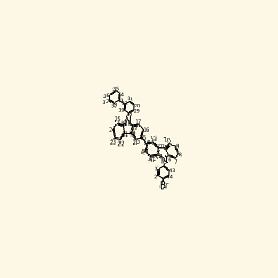 Brc1ccc(-n2c3ccccc3c3cc(-c4ccc5c(c4)c4ccccc4n5-c4cccc(-c5ccccc5)c4)ccc32)cc1